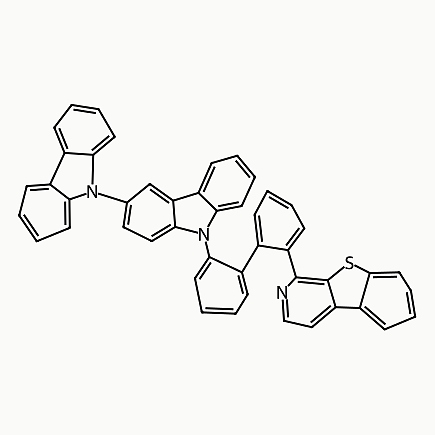 c1ccc(-c2nccc3c2sc2ccccc23)c(-c2ccccc2-n2c3ccccc3c3cc(-n4c5ccccc5c5ccccc54)ccc32)c1